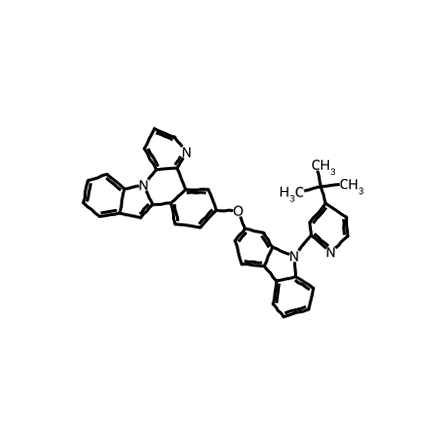 CC(C)(C)c1ccnc(-n2c3ccccc3c3ccc(Oc4ccc5c(c4)c4ncccc4n4c6ccccc6cc54)cc32)c1